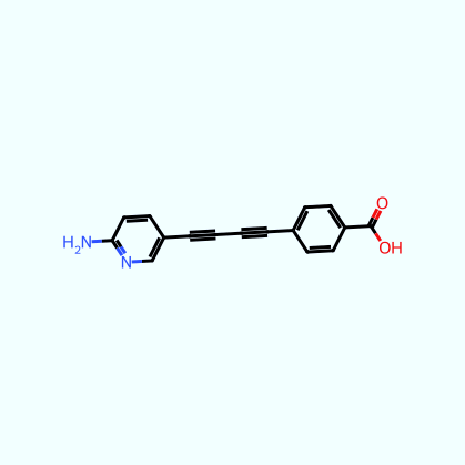 Nc1ccc(C#CC#Cc2ccc(C(=O)O)cc2)cn1